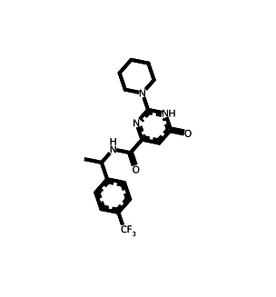 CC(NC(=O)c1cc(=O)[nH]c(N2CCCCC2)n1)c1ccc(C(F)(F)F)cc1